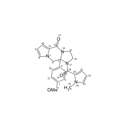 COc1ccc(C23Cn4cccc4C(=O)N2CCN3C(=O)c2cccn2C)cc1